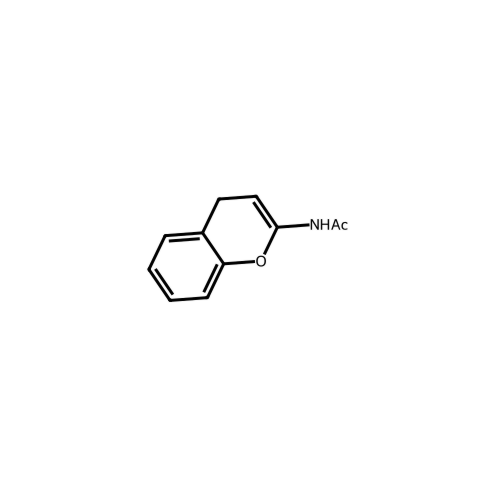 CC(=O)NC1=CCc2ccccc2O1